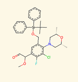 COC(C=O)c1cc(CO[Si](c2ccccc2)(c2ccccc2)C(C)(C)C)c(N2C[C@@H](C)O[C@@H](C)C2)c(Cl)c1F